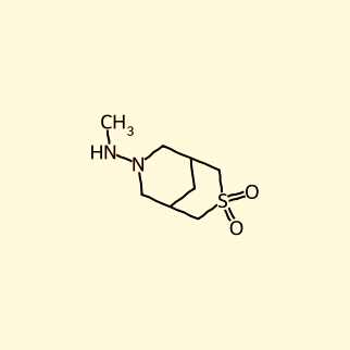 CNN1CC2CC(C1)CS(=O)(=O)C2